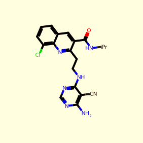 CC(C)NC(=O)c1cc2cccc(Cl)c2nc1CCNc1ncnc(N)c1C#N